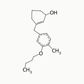 CCCCOc1cc(CC2=CC(O)CCC2)ccc1C